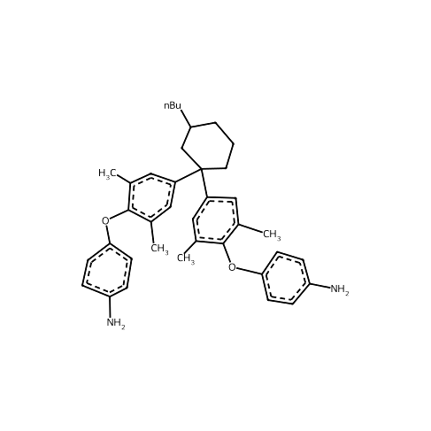 CCCCC1CCCC(c2cc(C)c(Oc3ccc(N)cc3)c(C)c2)(c2cc(C)c(Oc3ccc(N)cc3)c(C)c2)C1